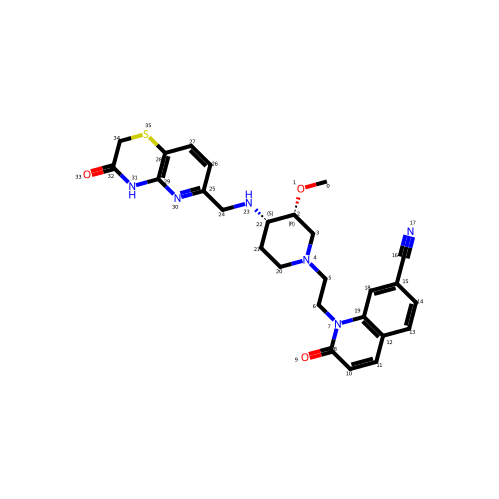 CO[C@@H]1CN(CCn2c(=O)ccc3ccc(C#N)cc32)CC[C@@H]1NCc1ccc2c(n1)NC(=O)CS2